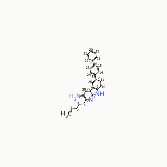 CCCCCc1nc2[nH]c3ccc(-c4ccc(-c5ccccc5)cc4)cc3c2cc1N